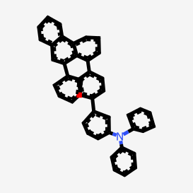 c1ccc(-c2cc3ccccc3c3cccc(-c4ccc(-c5cccc(N(c6ccccc6)c6ccccc6)c5)cc4)c23)cc1